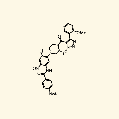 CNc1ccc(C(=O)Nc2cc(N3CCN(C(=O)c4c(-c5ccccc5OC)nnn4C)CC3)c(Cl)cc2N=O)cc1